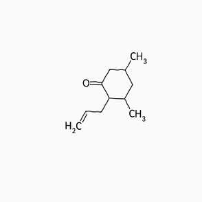 C=CCC1C(=O)CC(C)CC1C